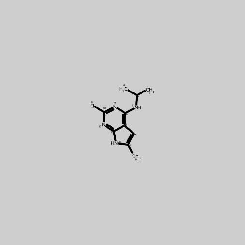 Cc1cc2c(NC(C)C)nc(Cl)nc2[nH]1